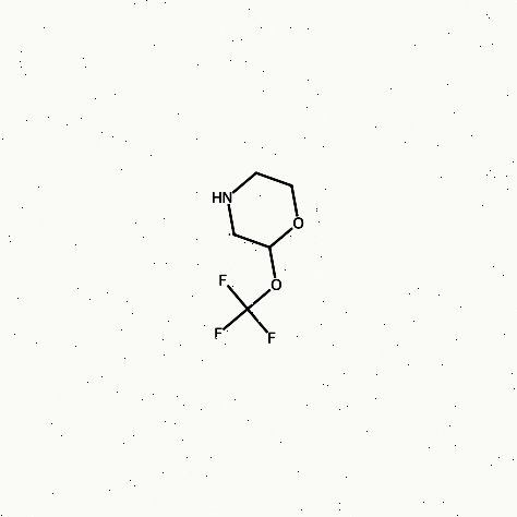 FC(F)(F)OC1[CH]NCCO1